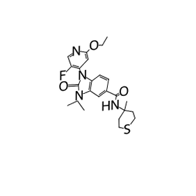 CCOc1cc(-n2c(=O)n(C(C)C)c3cc(C(=O)NC4(C)CCSCC4)ccc32)c(F)cn1